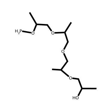 CC(O)COC(C)COCC(C)OCC(C)OP